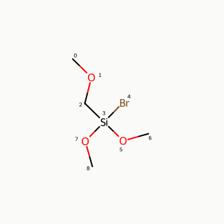 COC[Si](Br)(OC)OC